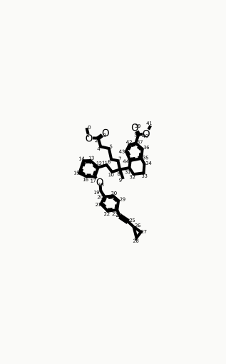 COC(=O)CCCCC(C)(CCc1ccccc1OCc1ccc(C#CC2CC2)cc1)C1CCCc2cc(C(=O)OC)ccc21